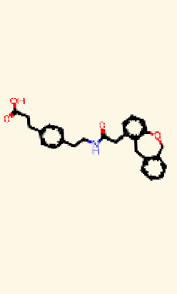 O=C(O)CCc1ccc(CCNC(=O)Cc2cccc3c2Cc2ccccc2CO3)cc1